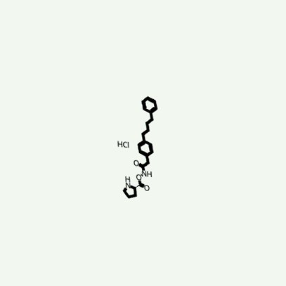 Cl.O=C(Cc1ccc(CCCCc2ccccc2)cc1)NOC(=O)[C@@H]1CCCN1